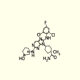 C[C@]1(C(N)=O)CC[C@@H](n2c(Nc3c(Cl)cc(F)cc3Cl)nc3cnc(N[C@@H]4CCC[C@@H](O)C4)nc32)CC1